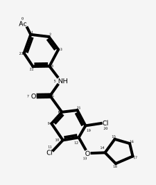 CC(=O)c1ccc(NC(=O)c2cc(Cl)c(OC3CCCC3)c(Cl)c2)cc1